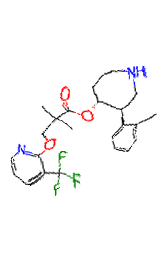 Cc1ccccc1[C@@H]1CNCC[C@H]1OC(=O)C(C)(C)COc1ncccc1C(F)(F)F